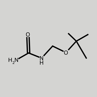 CC(C)(C)OCNC(N)=O